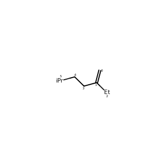 C=C(CC)CCC(C)C